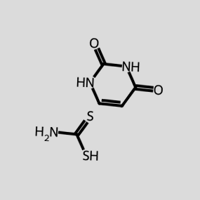 NC(=S)S.O=c1cc[nH]c(=O)[nH]1